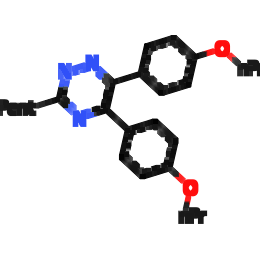 CCCOc1ccc(-c2nnc(C(C)CCC)nc2-c2ccc(OCCC)cc2)cc1